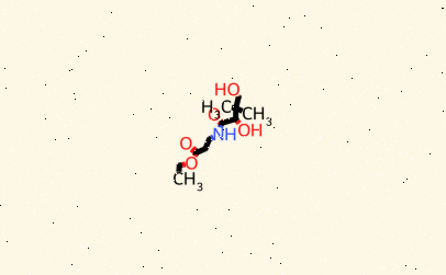 CCOC(=O)CCNC(=O)C(O)C(C)(C)CO